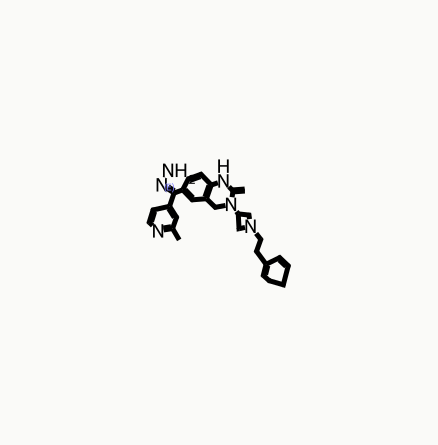 C=C1Nc2ccc(/C(=N\N)c3ccnc(C)c3)cc2CN1C1CN(CCC2=CCCC=C2)C1